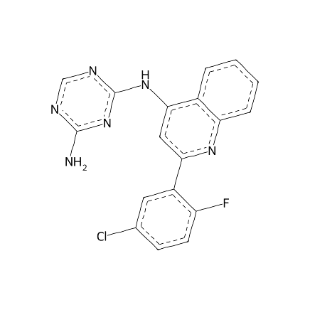 Nc1ncnc(Nc2cc(-c3cc(Cl)ccc3F)nc3ccccc23)n1